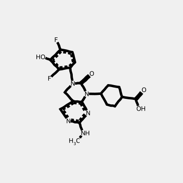 CNc1ncc2c(n1)N(C1CCC(C(=O)O)CC1)C(=O)N(c1ccc(F)c(O)c1F)C2